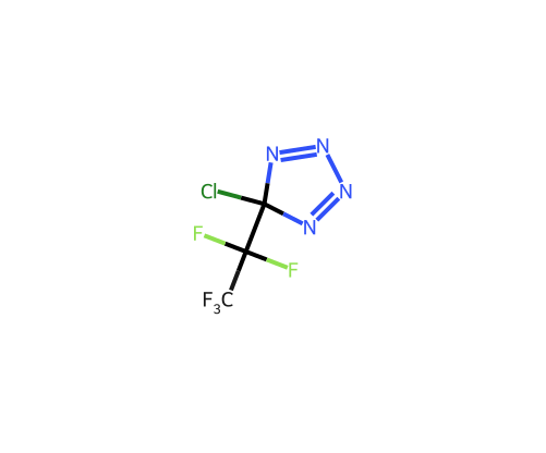 FC(F)(F)C(F)(F)C1(Cl)N=NN=N1